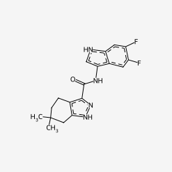 CC1(C)CCc2c(C(=O)Nc3c[nH]c4cc(F)c(F)cc34)n[nH]c2C1